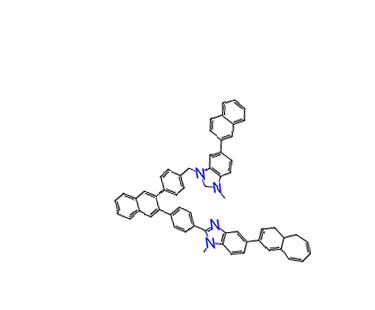 CN1CN(Cc2ccc(-c3cc4ccccc4cc3-c3ccc(-c4nc5cc(C6=CCC7CC=CC=CC7=C6)ccc5n4C)cc3)cc2)c2cc(-c3ccc4ccccc4c3)ccc21